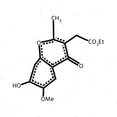 CCOC(=O)Cc1c(C)oc2cc(O)c(OC)cc2c1=O